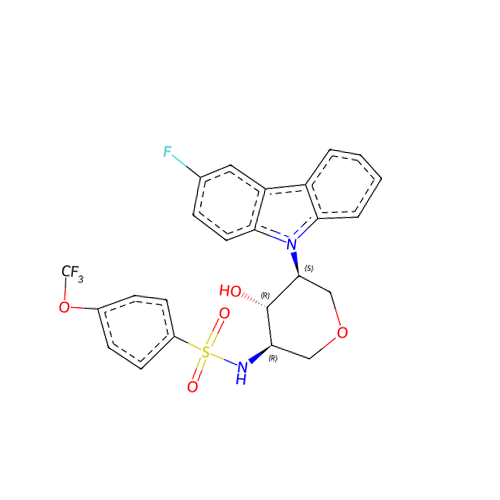 O=S(=O)(N[C@@H]1COC[C@H](n2c3ccccc3c3cc(F)ccc32)[C@H]1O)c1ccc(OC(F)(F)F)cc1